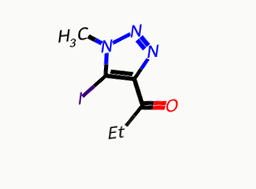 CCC(=O)c1nnn(C)c1I